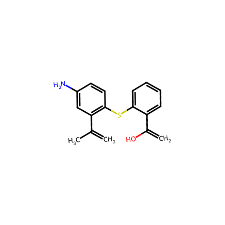 C=C(C)c1cc(N)ccc1Sc1ccccc1C(=C)O